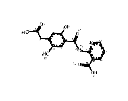 O=C(O)Cc1cc(O)c(C(=O)Nc2ncccc2C(=O)O)cc1O